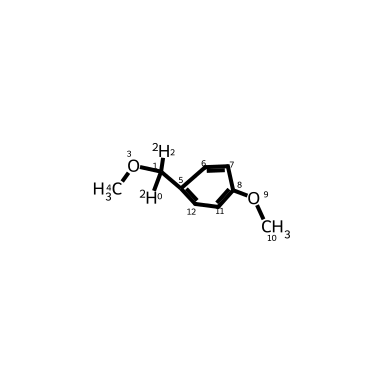 [2H]C([2H])(OC)c1ccc(OC)cc1